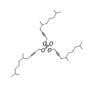 CC(C)CCCC(C)CC#CCOP(=O)(OCC#CCC(C)CCCC(C)C)OCC#CCC(C)CCCC(C)C